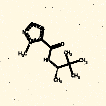 C[C@H](NC(=O)c1ccnn1C)C(C)(C)C